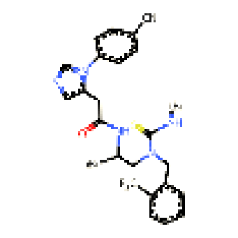 CCC(C)C(CN(Cc1ccccc1C(F)(F)F)C(=S)NC(C)(C)C)NC(=O)Cc1cncn1-c1ccc(C#N)cc1